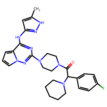 Cc1cc(Nc2nc(N3CCN(C(=O)C(c4ccc(F)cc4)N4CCCCC4)CC3)nn3cccc23)n[nH]1